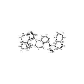 CC1C=Cc2c(cccc2-n2nnc3ccc4ccccc4c32)C1n1nnc2ccc3ccccc3c21